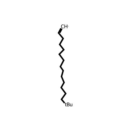 [CH]=CCCCCCCCCCCCCC(C)(C)C